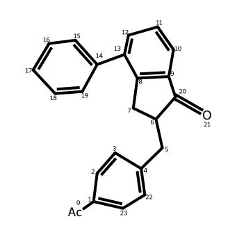 CC(=O)c1ccc(CC2Cc3c(cccc3-c3ccccc3)C2=O)cc1